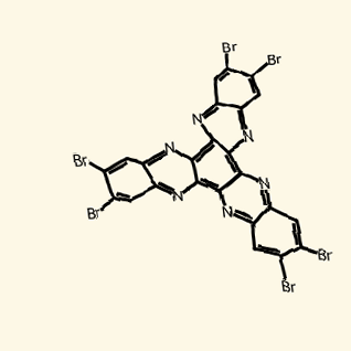 Brc1cc2nc3c4nc5cc(Br)c(Br)cc5nc4c4nc5cc(Br)c(Br)cc5nc4c3nc2cc1Br